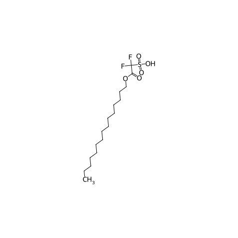 CCCCCCCCCCCCCCCOC(=O)C(F)(F)S(=O)(=O)O